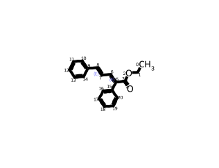 CCOC(=O)/C(=C/C=C/c1ccccc1)c1ccccc1